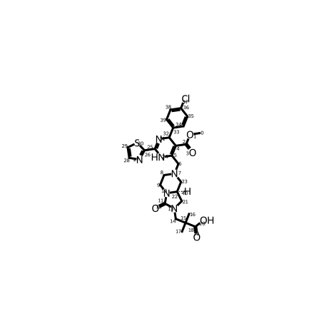 COC(=O)C1=C(CN2CCN3C(=O)N(CC(C)(C)C(=O)O)C[C@@H]3C2)NC(c2nccs2)=NC1c1ccc(Cl)cc1